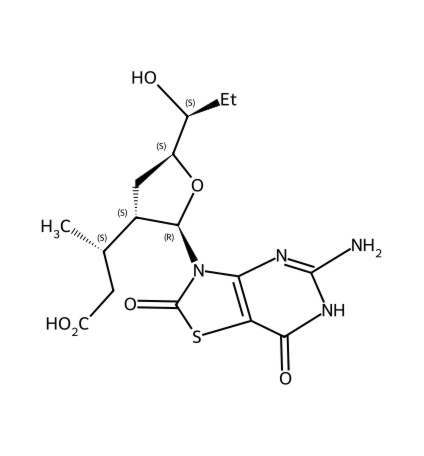 CC[C@H](O)[C@@H]1C[C@@H]([C@@H](C)CC(=O)O)[C@H](n2c(=O)sc3c(=O)[nH]c(N)nc32)O1